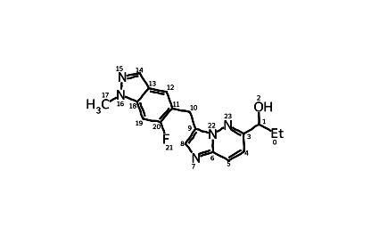 CCC(O)c1ccc2ncc(Cc3cc4cnn(C)c4cc3F)n2n1